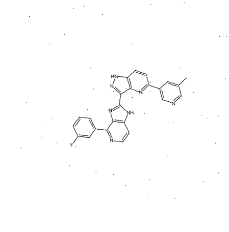 Cc1cncc(-c2ccc3[nH]nc(-c4nc5c(-c6cccc(F)c6)nccc5[nH]4)c3n2)c1